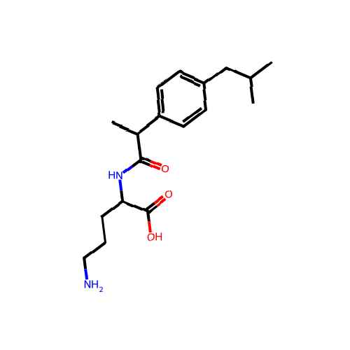 CC(C)Cc1ccc(C(C)C(=O)NC(CCCN)C(=O)O)cc1